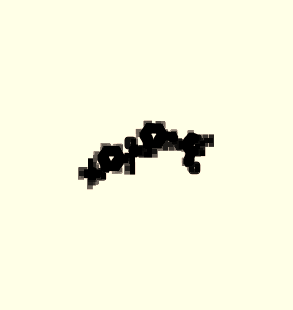 O=Cc1n[nH]cc1NCc1cccc(NC(=O)Nc2cccc(SC(F)(F)F)c2)c1